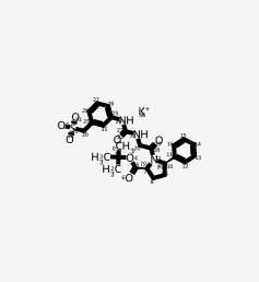 CC(C)(C)OC(=O)[C@@H]1CC[C@H](c2ccccc2)N1C(=O)CNC(=O)Nc1cccc(CS(=O)(=O)[O-])c1.[K+]